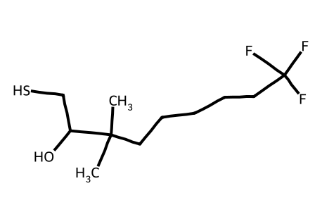 CC(C)(CCCCCC(F)(F)F)C(O)CS